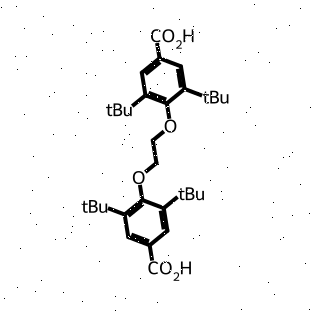 CC(C)(C)c1cc(C(=O)O)cc(C(C)(C)C)c1OCCOc1c(C(C)(C)C)cc(C(=O)O)cc1C(C)(C)C